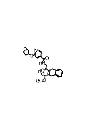 CC(C)(C)OC(=O)N1Cc2ccccc2C[C@H]1[C@H](O)CNC(=O)c1ccnc(OC2CCOC2)c1